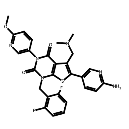 COc1ccc(-n2c(=O)c3c(CN(C)C)c(-c4ccc(N)nc4)sc3n(Cc3c(F)cccc3F)c2=O)cn1